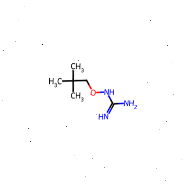 CC(C)(C)CONC(=N)N